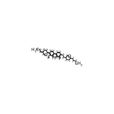 C=CCCC1CCC(CCc2ccc(-c3ccc(C4CCC(CCC)CO4)c(F)c3F)c(F)c2F)CO1